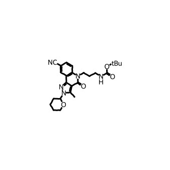 Cc1c2c(=O)n(CCCNC(=O)OC(C)(C)C)c3ccc(C#N)cc3c2nn1C1CCCCO1